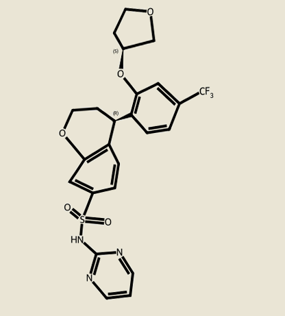 O=S(=O)(Nc1ncccn1)c1ccc2c(c1)OCC[C@H]2c1ccc(C(F)(F)F)cc1O[C@H]1CCOC1